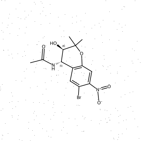 CC(=O)N[C@H]1c2cc(Br)c([N+](=O)[O-])cc2OC(C)(C)[C@@H]1O